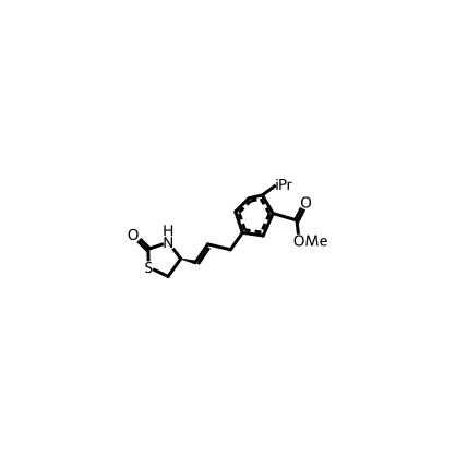 COC(=O)c1cc(C/C=C/[C@H]2CSC(=O)N2)ccc1C(C)C